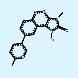 CC(C)n1c(=O)n(C)c2nnc3ccc(-c4ccc(F)nc4)cc3c21